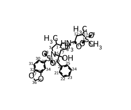 CC(C)CN(C(O)(CCNC(=O)CC(C)S(C)(=O)=O)Cc1ccccc1)S(=O)(=O)c1ccc2c(c1)OCO2